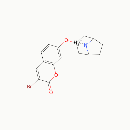 CN1C2CCC1CC(Oc1ccc3cc(Br)c(=O)oc3c1)C2